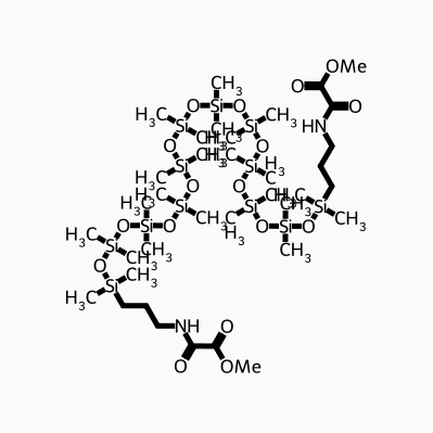 COC(=O)C(=O)NCCC[Si](C)(C)O[Si](C)(C)O[Si](C)(C)O[Si](C)(C)O[Si](C)(C)O[Si](C)(C)O[Si](C)(C)O[Si](C)(C)O[Si](C)(C)O[Si](C)(C)O[Si](C)(C)O[Si](C)(C)CCCNC(=O)C(=O)OC